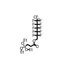 CCO[Si](CCC(=O)OCC(F)(F)C(F)(F)C(F)(F)C(F)(F)C(F)(F)C(F)(F)F)(OCC)OCC